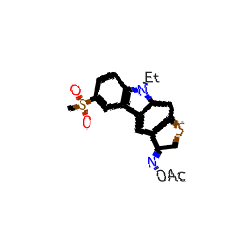 CCn1c2ccc(S(C)(=O)=O)cc2c2cc3c(cc21)SCC3=NOC(C)=O